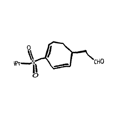 CC(C)S(=O)(=O)C1=CCC(CC=O)C=C1